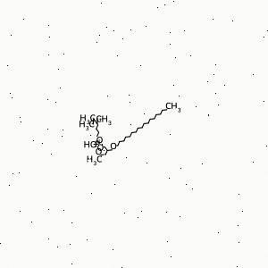 CCCCCCCCCCCCCCCCCCOCC(COP(O)OCCCC[N+](C)(C)C)CC(C)=O